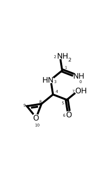 N=C(N)NC(C(=O)O)C1=CO1